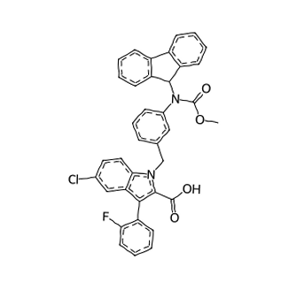 COC(=O)N(c1cccc(Cn2c(C(=O)O)c(-c3ccccc3F)c3cc(Cl)ccc32)c1)C1c2ccccc2-c2ccccc21